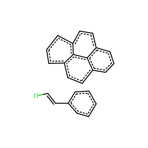 ClC=Cc1ccccc1.c1cc2ccc3cccc4ccc(c1)c2c34